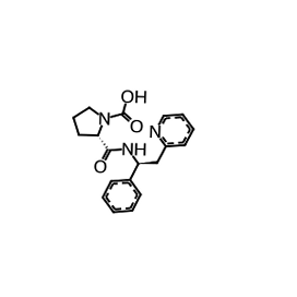 O=C(N[C@@H](Cc1ccccn1)c1ccccc1)[C@@H]1CCCN1C(=O)O